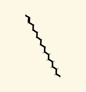 CC=CCCCCCCCCCCCCCCC